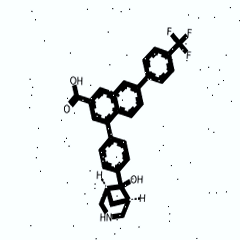 O=C(O)c1cc(-c2ccc(C3(O)[C@@H]4CNC[C@H]3C4)cc2)c2ccc(-c3ccc(C(F)(F)F)cc3)cc2c1